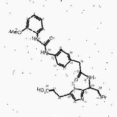 COc1ccccc1NC(=O)Nc1ccc(CC(=O)NC(CC(C)C)c2ncc(CCC(=O)O)s2)cc1